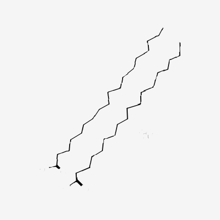 CCCCCCCCCCCCCCCCCC(=O)[O-].CCCCCCCCCCCCCCCCCC(=O)[O-].[O-2].[Zr+4]